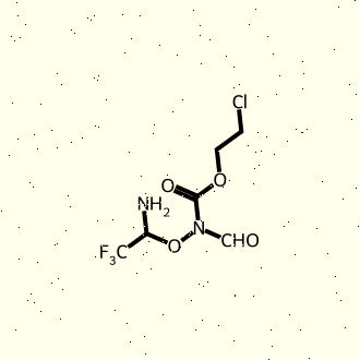 NC(ON(C=O)C(=O)OCCCl)C(F)(F)F